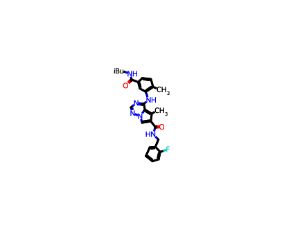 CCC(C)NC(=O)c1ccc(C)c(Nc2ncnn3cc(C(=O)NCc4ccccc4F)c(C)c23)c1